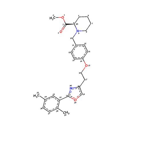 COC(=O)[C@H]1CCCCN1Cc1ccc(OCCc2coc(-c3cc(C)ccc3C)n2)cc1